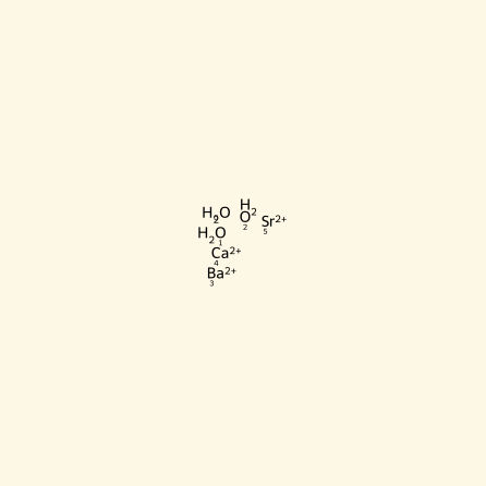 O.O.O.[Ba+2].[Ca+2].[Sr+2]